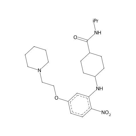 CC(C)NC(=O)C1CCC(Nc2cc(OCCN3CCCCC3)ccc2[N+](=O)[O-])CC1